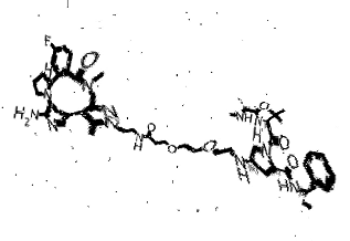 CC[C@H](NC(=O)[C@H]1C[C@@H](NCCOCCOCCC(=O)NCCn2nc3c(c2C)-c2cnc(N)c(c2)N2CCC[C@@H]2c2cc(F)ccc2C(=O)N(C)C3)CN1C(=O)[C@H](NC(=O)[C@@H](C)NC)C(C)(C)C)c1ccccc1